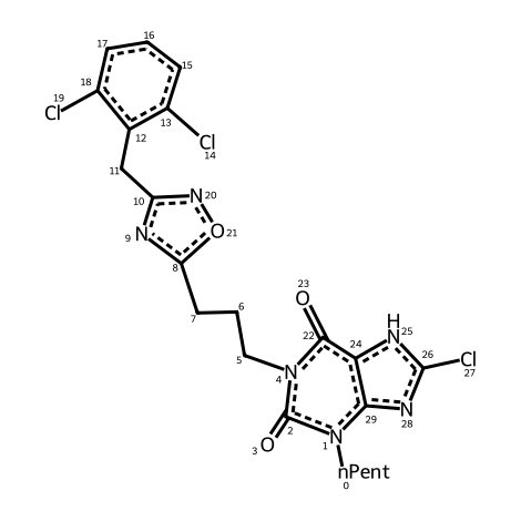 CCCCCn1c(=O)n(CCCc2nc(Cc3c(Cl)cccc3Cl)no2)c(=O)c2[nH]c(Cl)nc21